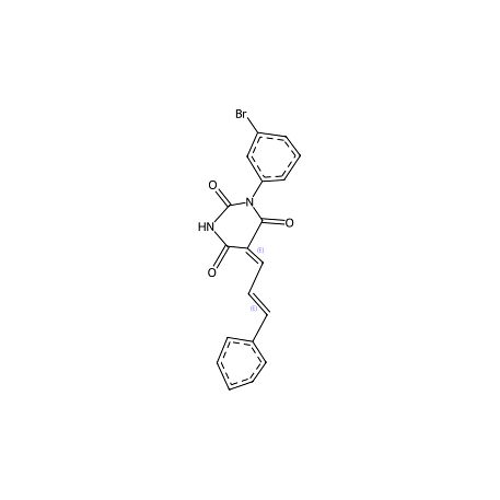 O=C1NC(=O)N(c2cccc(Br)c2)C(=O)/C1=C/C=C/c1ccccc1